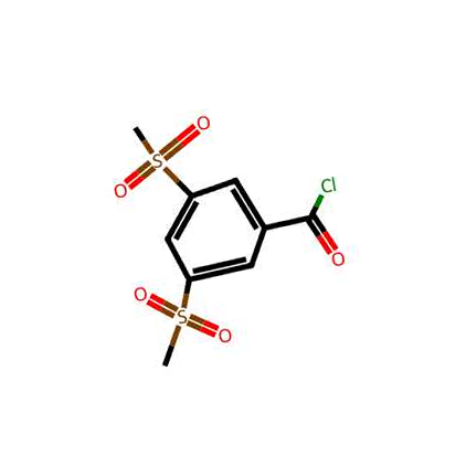 CS(=O)(=O)c1cc(C(=O)Cl)cc(S(C)(=O)=O)c1